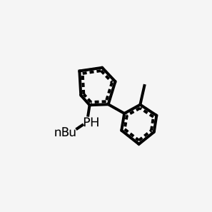 CCCCPc1ccccc1-c1ccccc1C